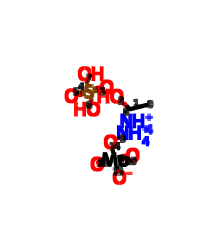 CCO.O=S(=O)(O)O.[NH4+].[NH4+].[O]=[Mo](=[O])([O-])[O-]